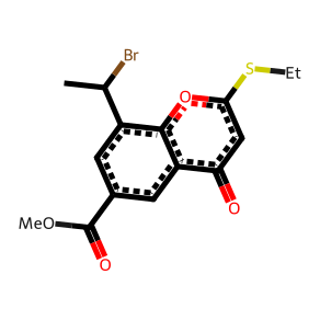 CCSc1cc(=O)c2cc(C(=O)OC)cc(C(C)Br)c2o1